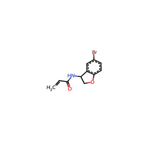 C=CC(=O)NC1COc2ccc(Br)cc21